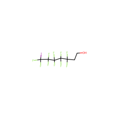 OCCC(F)(F)C(F)(F)C(F)(F)C(F)(F)C(F)(F)I